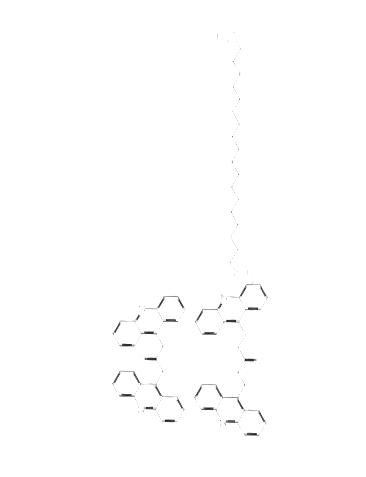 CCCCCCCCCCCCCCCCCCCC.O=C(CCc1c2ccccc2nc2ccccc12)CCc1c2ccccc2nc2ccccc12.O=C(Cc1c2ccccc2nc2ccccc12)Cc1c2ccccc2nc2ccccc12